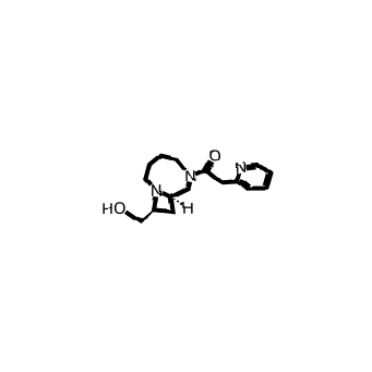 O=C(Cc1ccccn1)N1CCCCN2[C@H](CO)C[C@@H]2C1